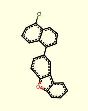 Clc1cccc2c(-c3ccc4oc5ccccc5c4c3)cccc12